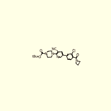 CC(C)(C)OC(=O)N1CCN(c2ncc(-c3ccc(C(=O)N4CCC4)c(Cl)c3)cc2C#N)CC1